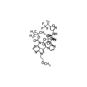 COCCn1cc(-c2ccc(NC(=O)Nc3cc(C4(C(F)(F)F)CC4)on3)c3nccn23)c2c(N(C(=O)OC(C)(C)C)C(=O)OC(C)(C)C)ncnc21